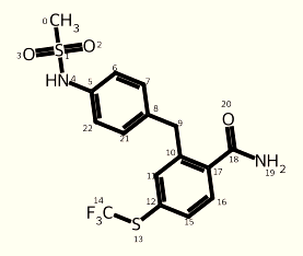 CS(=O)(=O)Nc1ccc(Cc2cc(SC(F)(F)F)ccc2C(N)=O)cc1